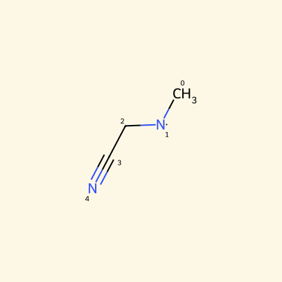 C[N]CC#N